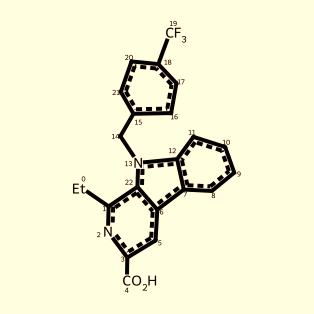 CCc1nc(C(=O)O)cc2c3ccccc3n(Cc3ccc(C(F)(F)F)cc3)c12